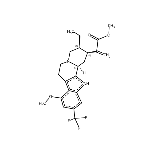 C=C(C(=O)OC)[C@H]1C[C@H]2c3[nH]c4cc(C(F)(F)F)cc(OC)c4c3CCN2C[C@H]1CC